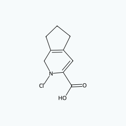 O=C(O)C1=CC2=C(CCC2)CN1Cl